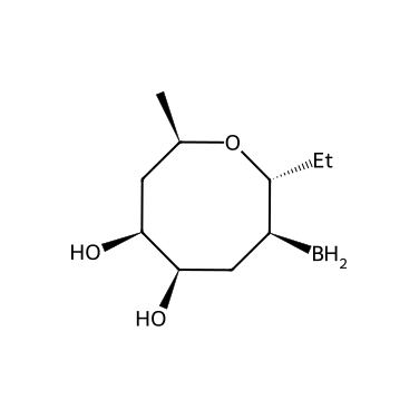 B[C@H]1C[C@@H](O)[C@@H](O)C[C@@H](C)O[C@@H]1CC